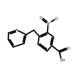 O=C(O)c1ccc(Cc2ccccn2)c([N+](=O)[O-])c1